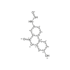 O=[SH]Nc1ccc2c(c1)c(=O)oc1cc(O)ccc12